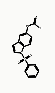 O=C(S)Nc1ccc2c(ccn2S(=O)(=O)c2ccccc2)c1